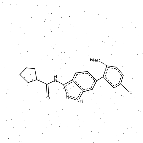 COc1ccc(F)cc1-c1ccc2c(NC(=O)C3CCCC3)n[nH]c2c1